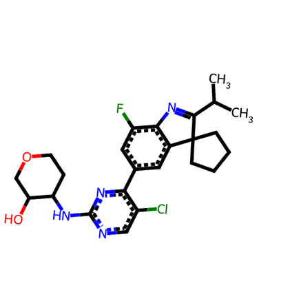 CC(C)C1=Nc2c(F)cc(-c3nc(NC4CCOCC4O)ncc3Cl)cc2C12CCCC2